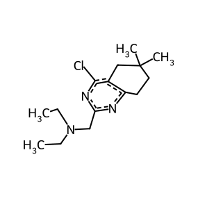 CCN(CC)Cc1nc(Cl)c2c(n1)CCC(C)(C)C2